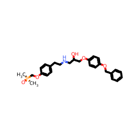 CP(C)(=O)COc1ccc(CCNCC(O)COc2ccc(OCc3ccccc3)cc2)cc1